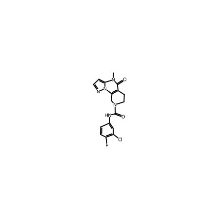 Cn1c(=O)c2c(n3nccc13)CN(C(=O)Nc1ccc(F)c(Cl)c1)CC2